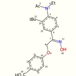 CCN(C(C)=O)c1ccc(C(COc2ccc(C(=O)O)cc2)=NO)cc1C(C)(C)C